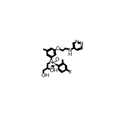 Cc1cc(OCCNc2ccnnc2)cc(N(CC(O)CO)S(=O)(=O)c2ccc(F)cc2C)c1